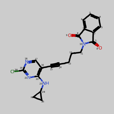 O=C1c2ccccc2C(=O)N1CCCC#Cc1cnc(Cl)nc1NC1CC1